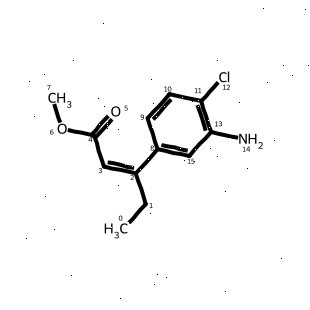 CC/C(=C/C(=O)OC)c1ccc(Cl)c(N)c1